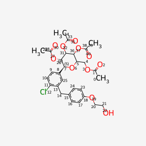 CC(=O)OCC1O[C@@H](c2ccc(Cl)c(Cc3ccc(OCCO)cc3)c2)[C@H](OC(C)=O)C(OC(C)=O)C1OC(C)=O